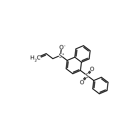 C=CC[S+]([O-])c1ccc(S(=O)(=O)c2ccccc2)c2ccccc12